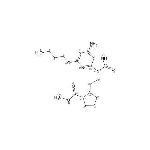 CCCCOc1nc(N)c2[nH]c(=O)n(CCN3CCCC3C(=O)OC)c2n1